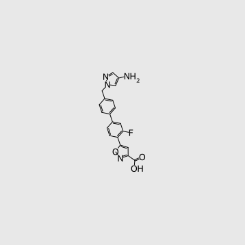 Nc1cnn(Cc2ccc(-c3ccc(-c4cc(C(=O)O)no4)c(F)c3)cc2)c1